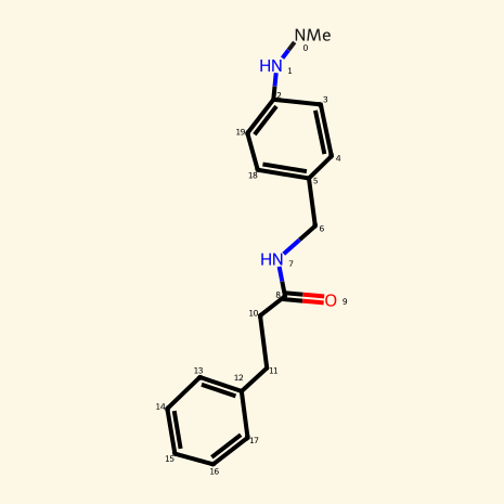 CNNc1ccc(CNC(=O)CCc2ccccc2)cc1